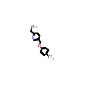 CC(C)(C)Cc1ccc(COc2ccc(C(F)(F)F)cc2)cn1